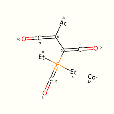 CCP(=C=O)(CC)C(=C=O)C(=C=O)C(C)=O.[Co]